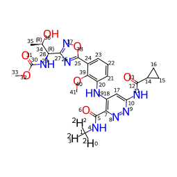 [2H]C([2H])([2H])NC(=O)c1nnc(NC(=O)C2CC2)cc1Nc1cccc(-c2nc([C@@H](NC(=O)OC)[C@@H](C)O)no2)c1OC